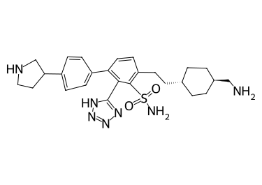 NC[C@H]1CC[C@H](CCc2ccc(-c3ccc(C4CCNC4)cc3)c(-c3nnn[nH]3)c2S(N)(=O)=O)CC1